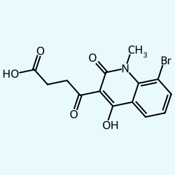 Cn1c(=O)c(C(=O)CCC(=O)O)c(O)c2cccc(Br)c21